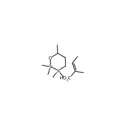 CC1CC[Si](C)(C)[Si](C)(C)O1.CC=C(C)C(=O)O